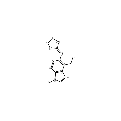 CCc1c(N=C2NCCN2)ccc2c1ncn2C